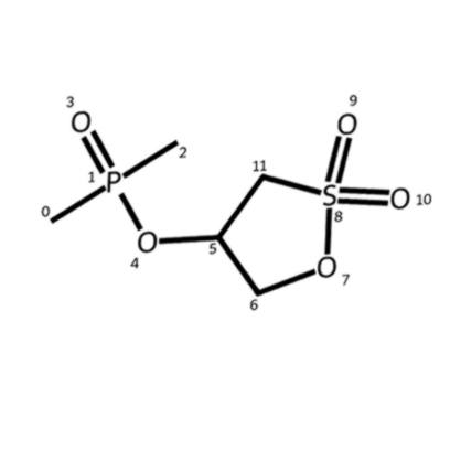 CP(C)(=O)OC1COS(=O)(=O)C1